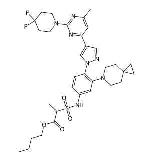 CCCCOC(=O)C(C)S(=O)(=O)Nc1ccc(-n2cc(-c3cc(C)nc(N4CCC(F)(F)CC4)n3)cn2)c(N2CCC3(CC2)CC3)c1